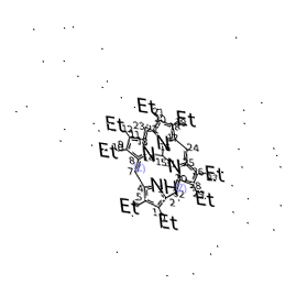 CCc1c2[nH]c(c1CC)/C=c1/c(CC)c(CC)c3n1C1n4c(c(CC)c(CC)c4C=3)C=c3c(CC)c(CC)/c(n31)=C/2